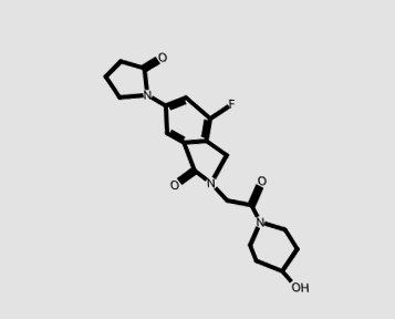 O=C(CN1Cc2c(F)cc(N3CCCC3=O)cc2C1=O)N1CCC(O)CC1